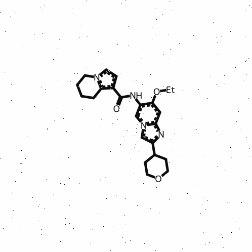 CCOc1cc2nc(C3CCOCC3)cn2cc1NC(=O)c1ccn2c1CCCC2